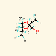 OC(F)(F)C1(C(F)(F)C(F)F)OC(F)(F)C(F)(C(F)(F)C(F)F)O1.[Na]